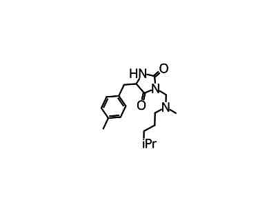 Cc1ccc(CC2NC(=O)N(CN(C)CCCC(C)C)C2=O)cc1